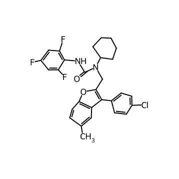 Cc1ccc2oc(CN(C(=O)Nc3c(F)cc(F)cc3F)C3CCCCC3)c(-c3ccc(Cl)cc3)c2c1